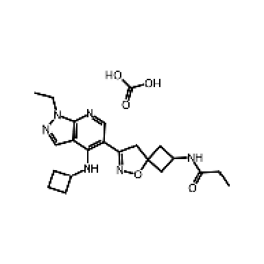 CCC(=O)NC1CC2(CC(c3cnc4c(cnn4CC)c3NC3CCC3)=NO2)C1.O=C(O)O